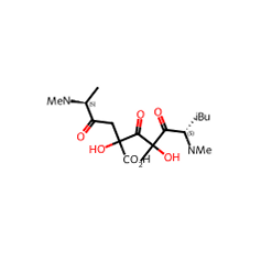 CCC(C)[C@H](NC)C(=O)C(C)(O)C(=O)C(O)(CC(=O)[C@H](C)NC)C(=O)O